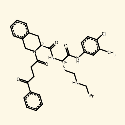 Cc1cc(NC(=O)[C@H](CCNCC(C)C)NC(=O)[C@@H]2Cc3ccccc3CN2C(=O)CCC(=O)c2ccccc2)ccc1Cl